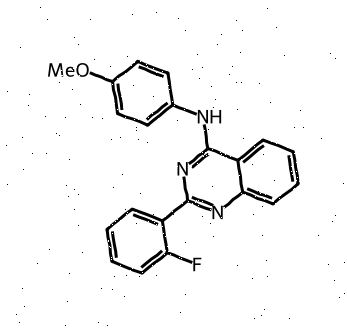 COc1ccc(Nc2nc(-c3ccccc3F)nc3ccccc23)cc1